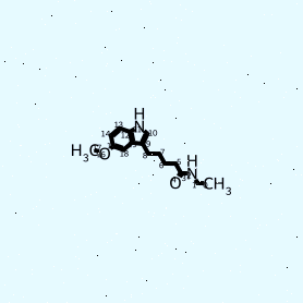 CCNC(=O)CCCCc1c[nH]c2ccc(OC)cc12